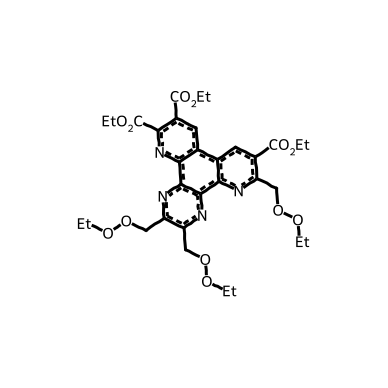 CCOOCc1nc2c(cc1C(=O)OCC)c1cc(C(=O)OCC)c(C(=O)OCC)nc1c1nc(COOCC)c(COOCC)nc21